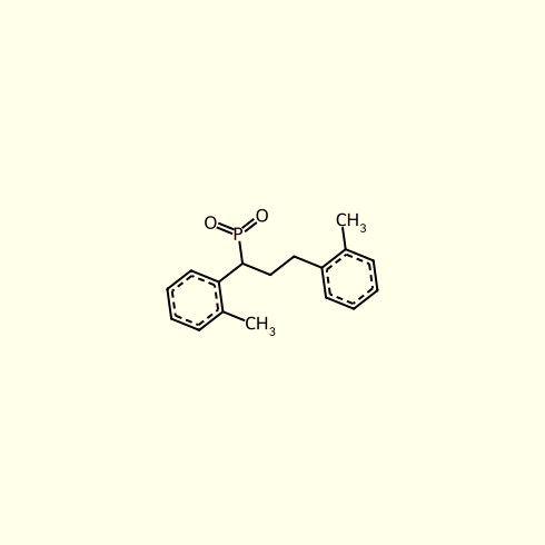 Cc1ccccc1CCC(c1ccccc1C)P(=O)=O